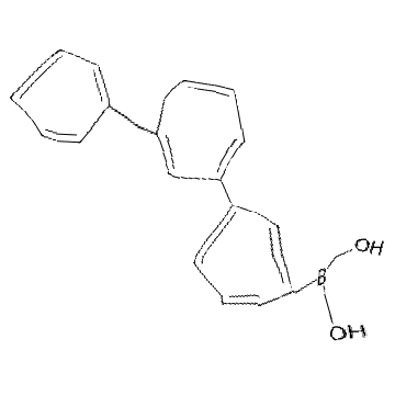 OB(O)c1cccc(-c2cccc(-c3ccccc3)c2)c1